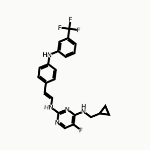 Fc1cnc(N/C=C/c2ccc(Nc3cccc(C(F)(F)F)c3)cc2)nc1NCC1CC1